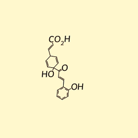 O=C(O)/C=C/C1C=CC(O)(C(=O)/C=C/c2ccccc2O)C=C1